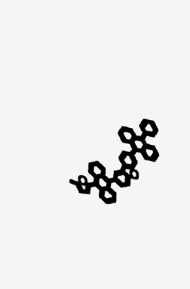 Cc1ccc(-c2c3ccccc3c(-c3ccc4oc5cc(-c6c7ccccc7c(-c7ccccc7)c7ccccc67)ccc5c4c3)c3ccccc23)o1